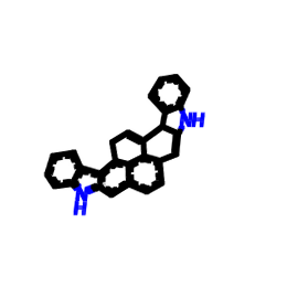 C1=C2Nc3ccccc3C2C2=CCc3c4c2c1ccc4cc1[nH]c2ccccc2c31